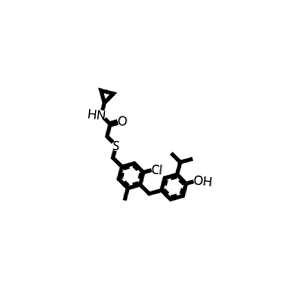 Cc1cc(CSCC(=O)NC2CC2)cc(Cl)c1Cc1ccc(O)c(C(C)C)c1